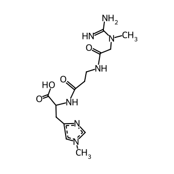 CN(CC(=O)NCCC(=O)NC(Cc1cn(C)cn1)C(=O)O)C(=N)N